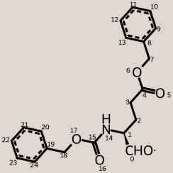 O=[C][C@H](CCC(=O)OCc1ccccc1)NC(=O)OCc1ccccc1